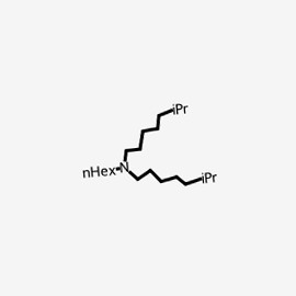 CCCCCCN(CCCCCC(C)C)CCCCCC(C)C